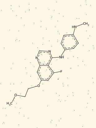 CNc1ccc(Nc2ncnc3cc(OCCOC)cc(F)c23)cc1